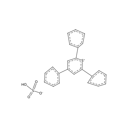 O=S(=O)([O-])O.c1ccc(-c2cc(-c3ccccc3)[s+]c(-c3ccccc3)c2)cc1